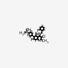 Cc1nc2cc(F)c(-c3ccc(P(C)C)nc3)c(F)c2c(NCc2ccccc2F)c1Cl